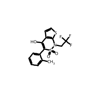 Cc1ccccc1C1=C(O)c2ccsc2N(CC(F)(F)F)S1(=O)=O